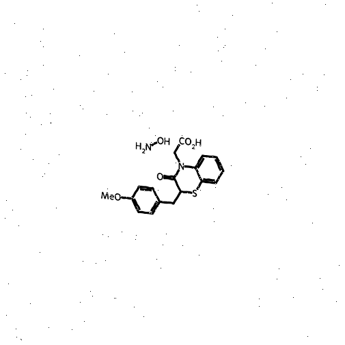 COc1ccc(CC2Sc3ccccc3N(CC(=O)O)C2=O)cc1.NO